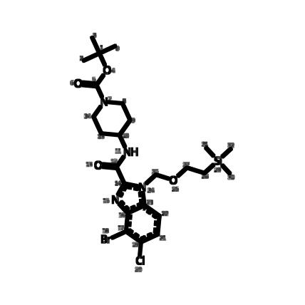 CC(C)(C)OC(=O)N1CCC(NC(=O)c2nc3c(Br)c(Cl)ccc3n2COCC[Si](C)(C)C)CC1